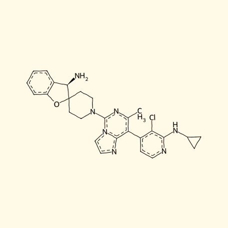 Cc1nc(N2CCC3(CC2)Oc2ccccc2[C@H]3N)n2ccnc2c1-c1ccnc(NC2CC2)c1Cl